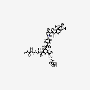 C=CC(=O)NCCCNC(=O)c1cc(NC(=O)c2ccc(/N=N/C(C(C)=O)C(=O)Nc3ccc4[nH]c(=O)[nH]c4c3)cc2)cc(C(=O)OCCCS(=O)(=O)O)c1